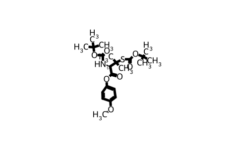 COc1ccc(OC(=O)[C@H](NC(=O)OC(C)(C)C)C(C)(C)SC(=O)OC(C)(C)C)cc1